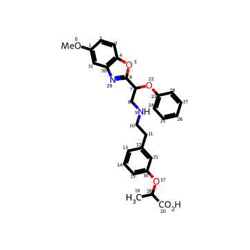 COc1ccc2oc(C(CNCCc3cccc(OC(C)C(=O)O)c3)Oc3ccccc3)nc2c1